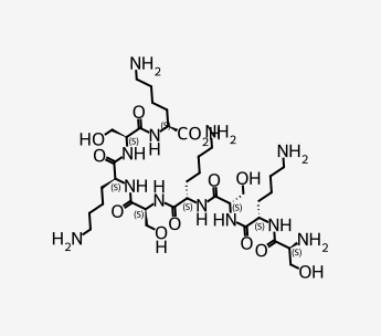 NCCCC[C@H](NC(=O)[C@H](CO)NC(=O)[C@H](CCCCN)NC(=O)[C@H](CO)NC(=O)[C@H](CCCCN)NC(=O)[C@H](CO)NC(=O)[C@H](CCCCN)NC(=O)[C@@H](N)CO)C(=O)O